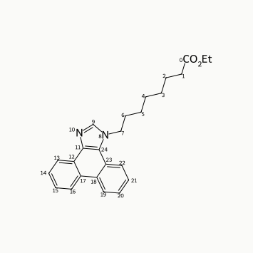 CCOC(=O)CCCCCCCn1cnc2c3ccccc3c3ccccc3c21